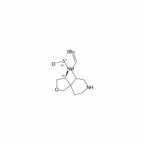 C=CCC1CNCCC12COC[C@H]2N[S@+]([O-])C(C)(C)C